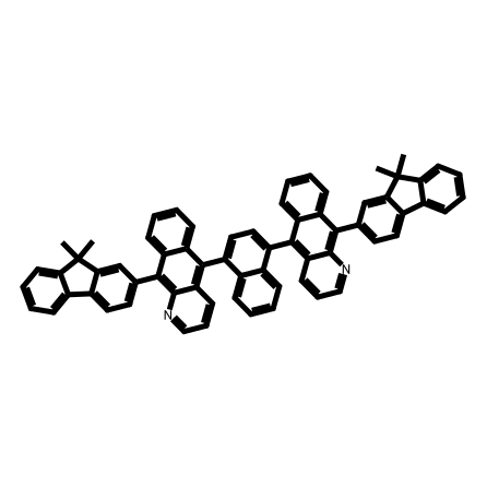 CC1(C)c2ccccc2-c2ccc(-c3c4ccccc4c(-c4ccc(-c5c6ccccc6c(-c6ccc7c(c6)C(C)(C)c6ccccc6-7)c6ncccc56)c5ccccc45)c4cccnc34)cc21